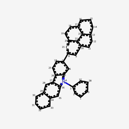 c1ccc(-n2c3cc(-c4cc5ccc6cccc7ccc(c4)c5c67)ccc3c3cc4ccccc4cc32)cc1